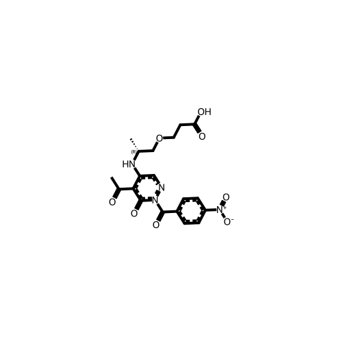 CC(=O)c1c(N[C@H](C)COCCC(=O)O)cnn(C(=O)c2ccc([N+](=O)[O-])cc2)c1=O